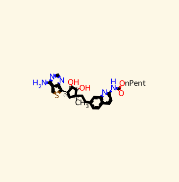 CCCCCOC(=O)Nc1ccc2ccc(CC[C@@]3(C)C[C@@H](c4scc5c(N)ncnc45)[C@H](O)[C@@H]3O)cc2n1